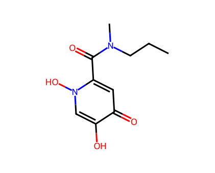 CCCN(C)C(=O)c1cc(=O)c(O)cn1O